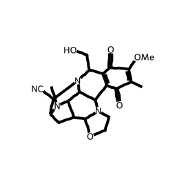 COC1=C(C)C(=O)C2=C(C1=O)C(CO)N1C(C#N)C3CC4C(C1C2N1CCOC41)N3C